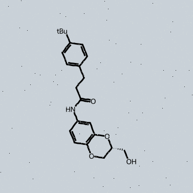 CC(C)(C)c1ccc(CCC(=O)Nc2ccc3c(c2)O[C@H](CO)CO3)cc1